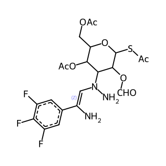 CC(=O)OCC1OC(SC(C)=O)C(OC=O)C(N(N)/C=C(\N)c2cc(F)c(F)c(F)c2)C1OC(C)=O